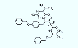 CC(C)C(COCc1ccccc1)NC(=O)C(F)(F)C(=O)C(Cc1ccc(OCc2ccccc2)cc1)NC(=O)C(NC(=O)O)C(C)C